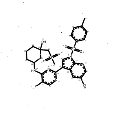 Cc1ccc(S(=O)(=O)n2cc(-c3ncc(F)c(NC4CCCC(O)(CS(C)(=O)=O)C4)n3)c3cc(Cl)cnc32)cc1